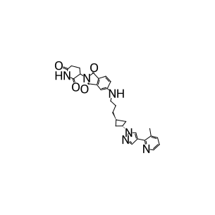 Cc1cccnc1-c1cnn([C@H]2C[C@H](CCCNc3ccc4c(c3)C(=O)N(C3CCC(=O)NC3=O)C4=O)C2)c1